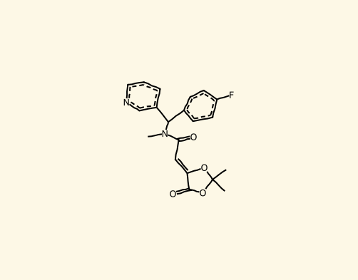 CN(C(=O)/C=C1\OC(C)(C)OC1=O)C(c1ccc(F)cc1)c1cccnc1